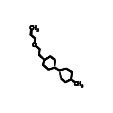 C=CCOCC[C@H]1CC[C@H]([C@H]2CC[C@H](C)CC2)CC1